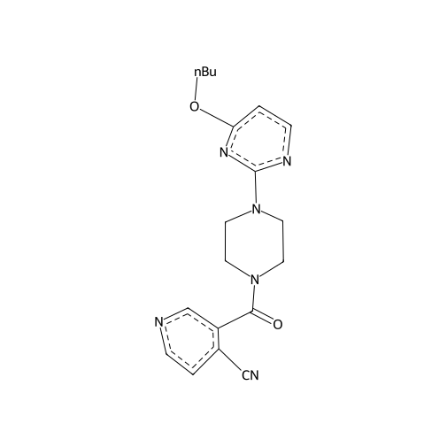 CCCCOc1ccnc(N2CCN(C(=O)c3cnccc3C#N)CC2)n1